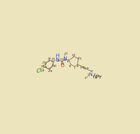 CCCN(C)CC#CC1CCC(N(C)C(=O)Nc2ccc(Cl)cc2)CC1